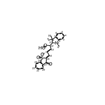 CN1c2ccccc2C(C)(C)C1C(/C=C/C=C1/C(=O)c2ccccc2S1(=O)=O)OO